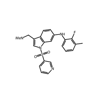 CNCc1cn(S(=O)(=O)c2cccnc2)c2cc(Nc3cccc(C)c3F)ccc12